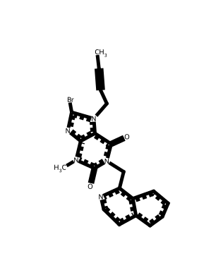 CC#CCn1c(Br)nc2c1c(=O)n(Cc1nccc3ccccc13)c(=O)n2C